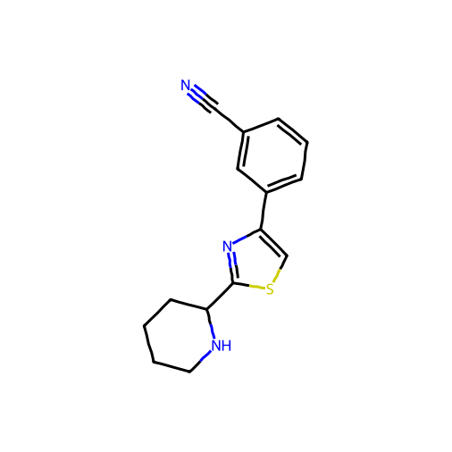 N#Cc1cccc(-c2csc(C3CCCCN3)n2)c1